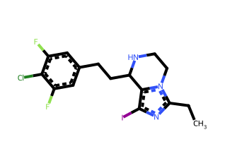 CCc1nc(I)c2n1CCNC2CCc1cc(F)c(Cl)c(F)c1